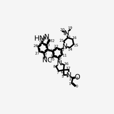 C=CC(=O)N1CC2(CCN(c3cc(N4CCCC(N(C)C)C4)cc(-c4c(C)ccc5[nH]ncc45)c3C#N)C2)C1